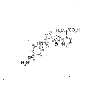 CC(C(=O)O)c1cccnc1NC(=O)C1CCC1C(=O)Nc1ccc(C=NN)cc1